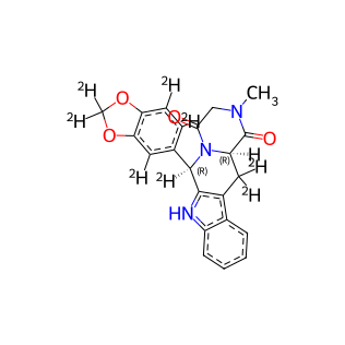 [2H]c1c([2H])c([C@]2([2H])c3[nH]c4ccccc4c3C([2H])([2H])[C@@H]3C(=O)N(C)CC(=O)N32)c([2H])c2c1OC([2H])([2H])O2